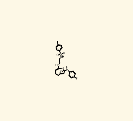 Cc1ccc(S(=O)(=O)NCCNC2=C/CC/C(C(C)C)=C/C(Nc3ccc(F)cc3)=N\2)cc1